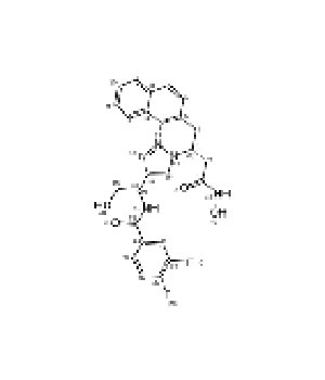 O=C(C[C@@H](Cc1ccc2ccccc2c1)n1cc([C@H](CO)NC(=O)c2ccc(F)c(F)c2)nn1)NO